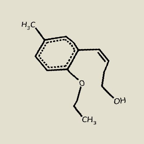 CCOc1ccc(C)cc1/C=C\CO